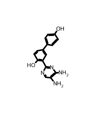 Nc1cnc(-c2cc(-c3ccc(O)cc3)ccc2O)nc1N